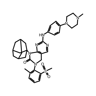 Cc1cccc(S(C)(=O)=O)c1N1Cc2cnc(Nc3ccc(N4CCN(C)CC4)cc3)nc2N(C23CC4CC(CC(C4)C2)C3)C1=O